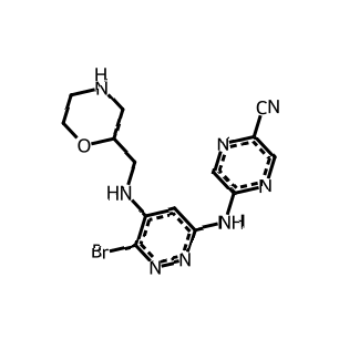 N#Cc1cnc(Nc2cc(NCC3CNCCO3)c(Br)nn2)cn1